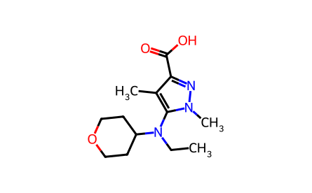 CCN(c1c(C)c(C(=O)O)nn1C)C1CCOCC1